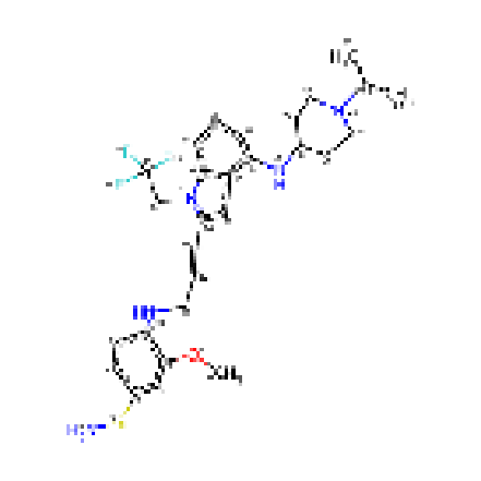 COc1cc(SN)ccc1NCC#Cc1cc2c(NC3CCN(C(C)C)CC3)cccc2n1CC(F)(F)F